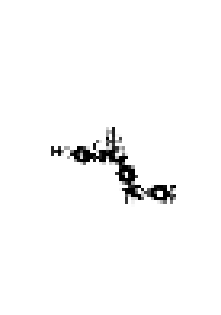 Nc1ncc(-c2ccc([C@@]34C[C@@H]3CN(C3CCC(F)(F)CC3)C4)cc2)cc1C(=O)NC12CCC(O)(CC1)CC2